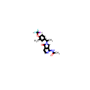 CC(=O)Nc1nccc2c1CN(C(C)c1ccc(OC(F)(F)I)c(C)c1)C2=O